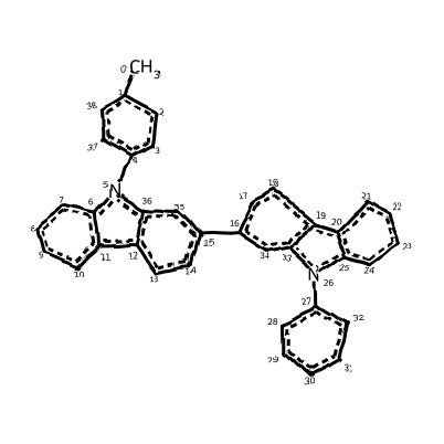 Cc1ccc(-n2c3ccccc3c3ccc(-c4ccc5c6ccccc6n(-c6ccccc6)c5c4)cc32)cc1